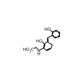 O=C(O)CNC1=C(O)C(=Cc2ccccc2O)CC=C1